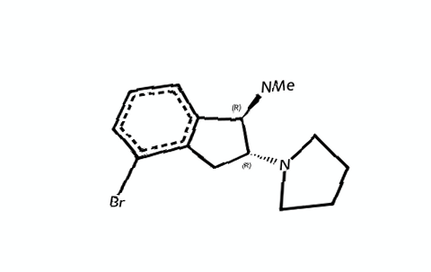 CN[C@@H]1c2cccc(Br)c2C[C@H]1N1CCCC1